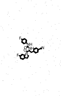 N#Cc1ccc(CC(NC(=O)Nc2ccc(F)cc2)C(=O)N2CCc3ccc(F)cc32)cc1